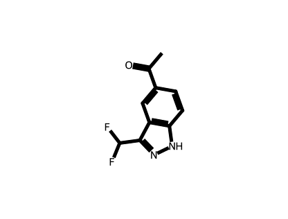 CC(=O)c1ccc2[nH]nc(C(F)F)c2c1